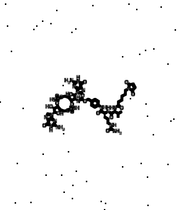 CC(C)[C@H](NC(=O)CCCCCN1C(=O)C=CC1=O)C(=O)N[C@@H](CCCNC(N)=O)C(=O)Nc1ccc(COC(=O)N[C@H]2C3OP(=O)(S)OC[C@H]4O[C@@H](n5cnc6c(=O)[nH]c(N)nc65)[C@@H](O)C4OP(=O)(S)OC[C@H]3O[C@H]2n2cnc3c(=O)[nH]c(N)nc32)cc1